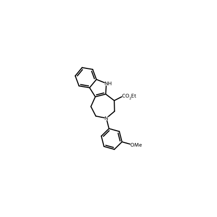 CCOC(=O)C1CN(c2cccc(OC)c2)CCc2c1[nH]c1ccccc21